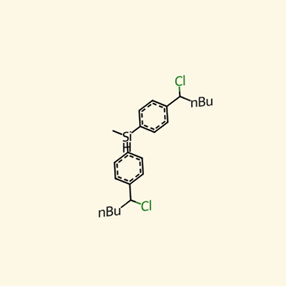 CCCCC(Cl)c1ccc([SiH](C)c2ccc(C(Cl)CCCC)cc2)cc1